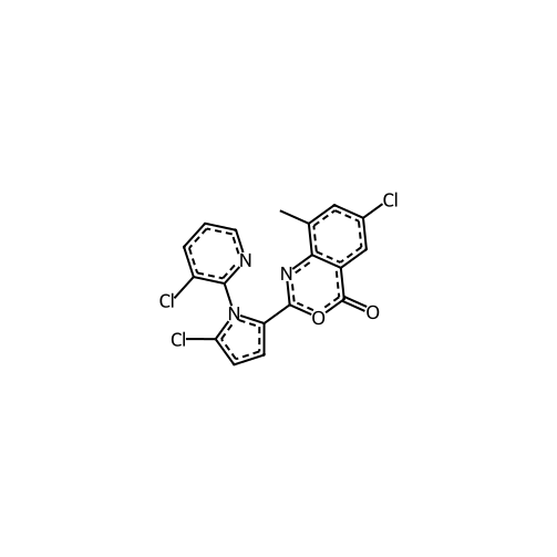 Cc1cc(Cl)cc2c(=O)oc(-c3ccc(Cl)n3-c3ncccc3Cl)nc12